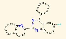 Fc1ccc2nc(-c3ccc4ccccc4n3)nc(-c3ccccc3)c2c1